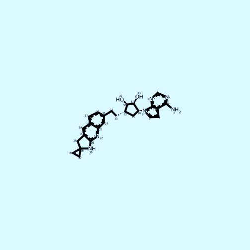 Nc1ncnc2c1ccn2[C@@H]1C[C@H](CCc2ccc3cc4c(nc3c2)NC2(CC2)C4)[C@@H](O)[C@H]1O